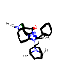 Cc1nc2c(F)cccc2n1[C@@H]1C[C@H]2CC[C@@H](C1)N2CC[C@H](NC(=O)C1CN(C)C1)c1ccccc1